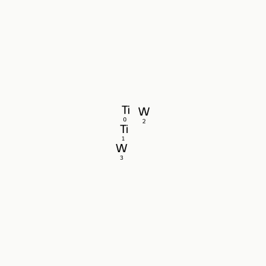 [Ti].[Ti].[W].[W]